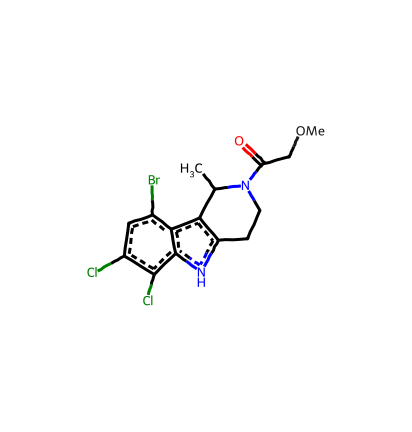 COCC(=O)N1CCc2[nH]c3c(Cl)c(Cl)cc(Br)c3c2C1C